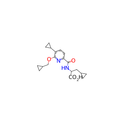 O=C(NC(CC1CC1)C(=O)O)c1ccc(C2CC2)c(OCC2CC2)n1